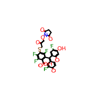 O=C(CON1C(=O)CCC1=O)CSc1c(F)c(F)c(C(=O)O)c(-c2c3cc(F)c(=O)cc-3oc3cc(O)c(F)cc23)c1F